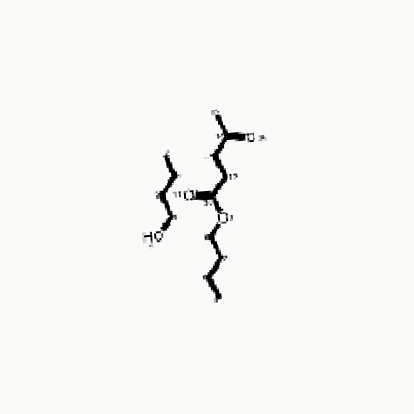 CCCCO.CCCCOC(=O)CCC(C)=O